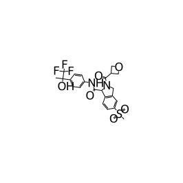 CC(O)(c1ccc(NC(=O)C2c3ccc(S(C)(=O)=O)cc3CN2C(=O)C2COC2)cc1)C(F)(F)F